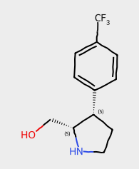 OC[C@H]1NCC[C@H]1c1ccc(C(F)(F)F)cc1